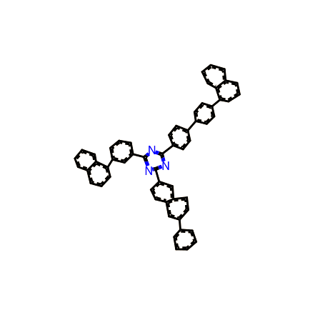 c1ccc(-c2ccc3cc(-c4nc(-c5ccc(-c6ccc(-c7cccc8ccccc78)cc6)cc5)nc(-c5cccc(-c6cccc7ccccc67)c5)n4)ccc3c2)cc1